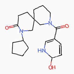 O=C(C1=CNC(O)C=C1)N1CCCC2(CCC(=O)N(C3CCCC3)C2)C1